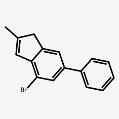 CC1=Cc2c(Br)cc(-c3ccccc3)cc2C1